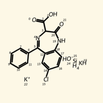 O=C(O)C1N=C(c2ccccc2)c2cc(Cl)ccc2NC1=O.[K+].[KH].[OH-].[SiH4]